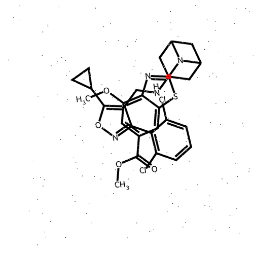 COC(=O)c1cc(OC)c2nc(N3C4CC(NCc5c(-c6c(Cl)cccc6Cl)noc5C5CC5)CC3C4)sc2c1